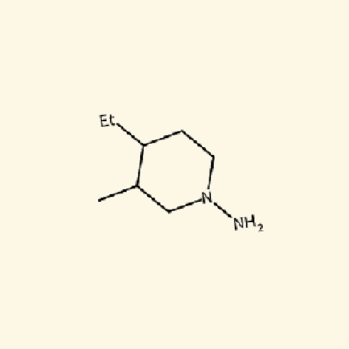 CCC1CCN(N)CC1C